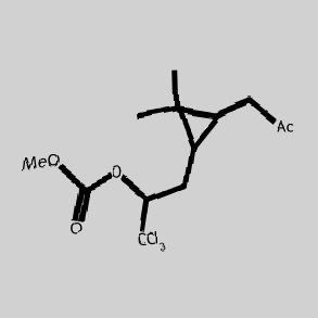 COC(=O)OC(CC1C(CC(C)=O)C1(C)C)C(Cl)(Cl)Cl